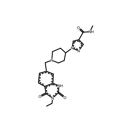 CCn1c(=O)[nH]c2cc(CN3CCC(n4cc(C(=O)NC)cn4)CC3)ccc2c1=O